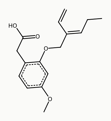 C=C/C(=C\CC)COc1cc(OC)ccc1CC(=O)O